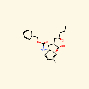 CCCC(=O)CC(CC1(NC(=O)OCc2ccccc2)C=CC(C)=CC1)C(=O)O